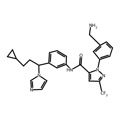 NCc1cccc(-n2nc(C(F)(F)F)cc2C(=O)Nc2cccc(C(CCC3CC3)n3ccnc3)c2)c1